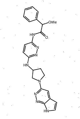 COC(C(=O)Nc1ccc(NC2CCN(c3cc4cc[nH]c4nn3)C2)nn1)c1ccccc1